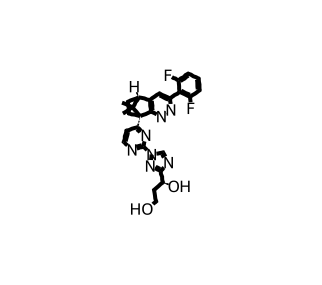 CC1(C)[C@H]2CC[C@]1(c1ccnc(-n3cnc([C@H](O)CCO)n3)n1)c1nnc(-c3c(F)cccc3F)cc12